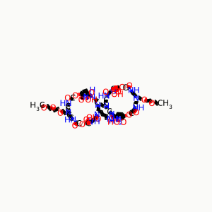 CCCOCCOCCN1CCNC(=O)COc2ccc(n(O)c2=O)C(=O)NCCN(CCN2CCNC(=O)c3ccc(c(=O)n3O)OCC(=O)NCCN(CCOCCOCCOC)CCNC(=O)COc3ccc(n(O)c3=O)C(=O)NC(CCCCN)C2)CCNC(=O)c2ccc(c(=O)n2O)OCC(=O)NCC1